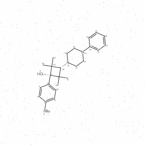 CCCCc1ccc([C@]2(O)C(C)(C)[C@@H](N3CCN(c4ccccc4)CC3)C2(C)C)cc1